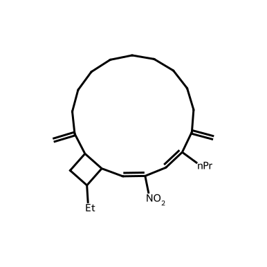 C=C1CCCCCCCCCC(=C)C2CC(CC)C2/C=C([N+](=O)[O-])\C=C/1CCC